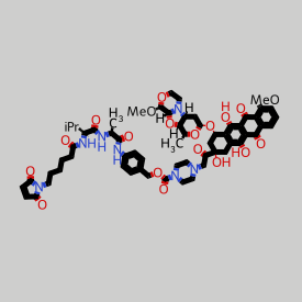 COc1cccc2c1C(=O)c1c(O)c3c(c(O)c1C2=O)C[C@@](O)(C(=O)CN1CCN(C(=O)OCc2ccc(NC(=O)[C@H](C)NC(=O)[C@@H](NC(=O)CCCCCN4C(=O)C=CC4=O)C(C)C)cc2)CC1)C[C@@H]3O[C@H]1C[C@H]2[C@H](O[C@@H]3[C@@H](OC)OCCN32)[C@H](C)O1